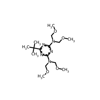 COCN(COC)c1nc(N(COC)COC)nc(C(C)(C)C)n1